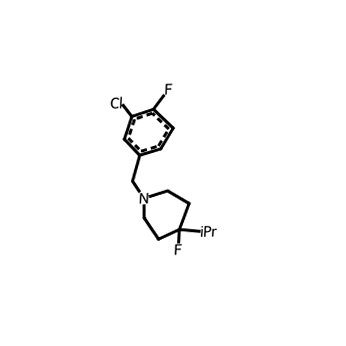 CC(C)C1(F)CCN(Cc2ccc(F)c(Cl)c2)CC1